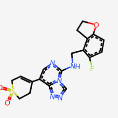 O=S1(=O)CC=C(c2cnc(NCc3c(F)ccc4c3CCO4)n3cnnc23)CC1